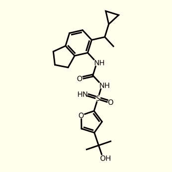 CC(c1ccc2c(c1NC(=O)NS(=N)(=O)c1cc(C(C)(C)O)co1)CCC2)C1CC1